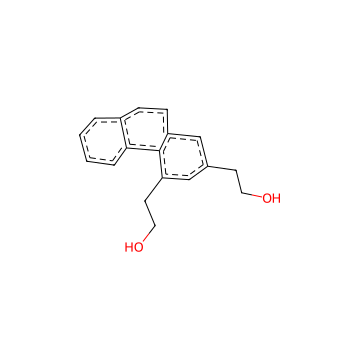 OCCc1cc(CCO)c2c(ccc3ccccc32)c1